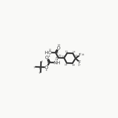 CC(C)(C)OC(=O)N[C@H](C(=O)O)C1CCC(F)(F)CC1